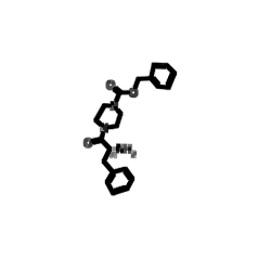 N[C@H](Cc1ccccc1)C(=O)N1CCN(C(=O)OCc2ccccc2)CC1